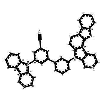 N#Cc1cc(-c2cccc(-n3c4cnccc4c4c5sc6ccccc6c5ccc43)c2)cc(-n2c3ccccc3c3ccccc32)c1